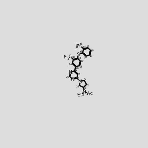 CCN(C(C)=O)C1CCN(c2cc(-c3ccc(Sc4ccccc4C(C)C)c(C(F)(F)F)c3)ncn2)C1